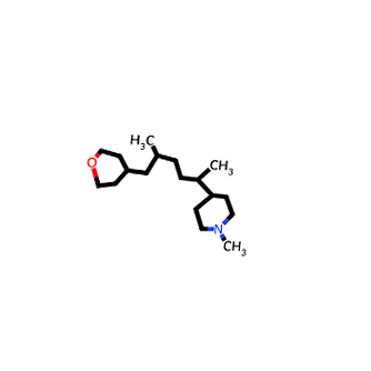 CC(CCC(C)C1CCN(C)CC1)CC1CCOCC1